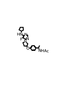 CC(=O)N[C@@H](C)c1ccc(O[C@@H]2CCN(c3ncnc(NC4CCCC4)c3F)C2)cc1